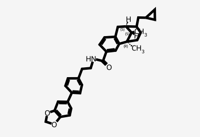 C[C@H]1[C@H]2Cc3ccc(C(=O)NCCc4ccc(-c5ccc6c(c5)OCO6)cc4)cc3[C@]1(C)CCC2CC1CC1